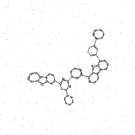 C1=C(c2ccccc2)CCC=C1c1cccc2c1sc1c(-c3cccc(-c4nc(-c5ccccc5)cc(-c5ccc6c(c5)oc5ccccc56)n4)c3)cccc12